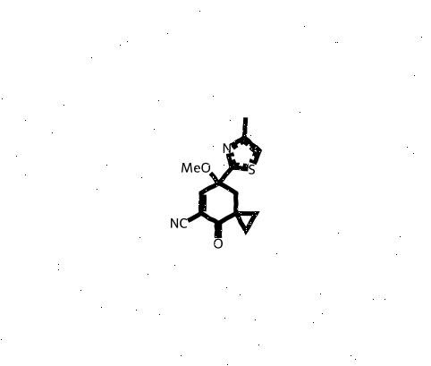 COC1(c2nc(C)cs2)C=C(C#N)C(=O)C2(CC2)C1